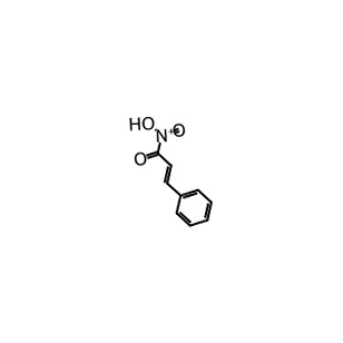 O=C(C=Cc1ccccc1)[N+](=O)O